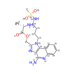 CC(C)[C@H](N)C(=O)OCc1nc2c(N)nc3ccccc3c2n1CCCCNS(C)(=O)=O